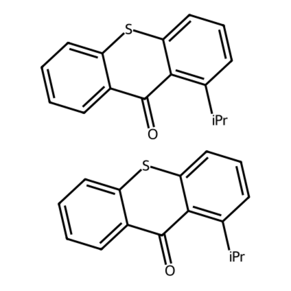 CC(C)c1cccc2sc3ccccc3c(=O)c12.CC(C)c1cccc2sc3ccccc3c(=O)c12